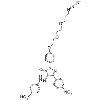 [N-]=[N+]=NCCCOCCOCCOc1ccc(N2N=C(c3ccc([N+](=O)[O-])cc3)/C(=N/Nc3ccc(S(=O)(=O)O)cc3)C2=O)cc1